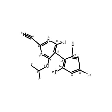 CC(C)Oc1nc(C#N)nc(Cl)c1-c1c(F)cc(F)cc1F